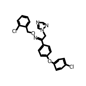 Clc1ccc(Oc2ccc(C(Cn3cncn3)=NOCc3ccccc3Cl)cc2)cc1